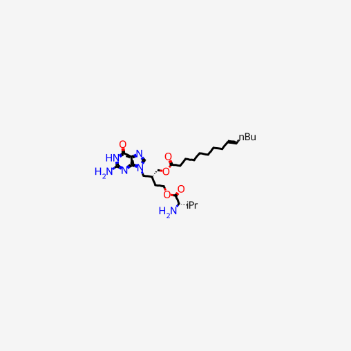 CCCCC=CCCCCCCCC(=O)OC[C@H](CCOC(=O)[C@@H](N)C(C)C)Cn1cnc2c(=O)[nH]c(N)nc21